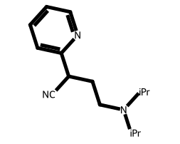 CC(C)N(CCC(C#N)c1ccccn1)C(C)C